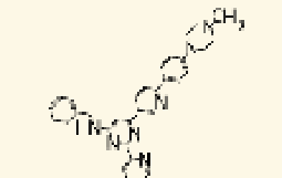 CN1CCN(c2ccc(-c3ccc(-c4cc(NCc5ccccc5)nc(-c5ccccn5)n4)cn3)cc2)CC1